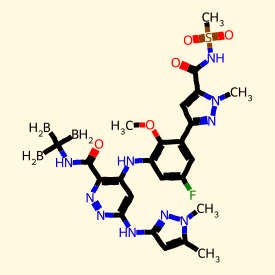 BC(B)(B)NC(=O)c1nnc(Nc2cc(C)n(C)n2)cc1Nc1cc(F)cc(-c2cc(C(=O)NS(C)(=O)=O)n(C)n2)c1OC